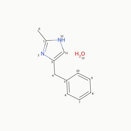 Cc1nc(Cc2ccccc2)c[nH]1.O